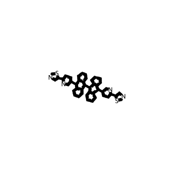 c1ccc2c(-c3c4ccccc4c(-c4ccc(-c5cncs5)nc4)c4ccccc34)c3ccccc3c(-c3ccc(-c4cncs4)nc3)c2c1